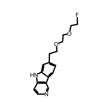 FCCOCCOCCc1ccc2c(c1)[nH]c1ccncc12